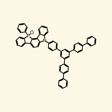 O=P1(c2ccccc2)c2ccccc2-c2ccc3c(c21)c1ccccc1n3-c1ccc(-c2cc(-c3ccc(-c4ccccc4)cc3)cc(-c3ccc(-c4ccccc4)cc3)c2)cc1